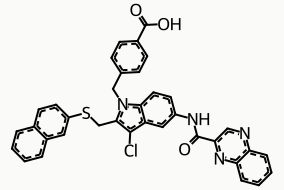 O=C(O)c1ccc(Cn2c(CSc3ccc4ccccc4c3)c(Cl)c3cc(NC(=O)c4cnc5ccccc5n4)ccc32)cc1